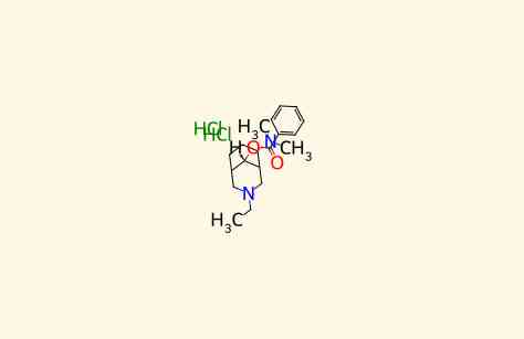 CCN1CC2CC[C@H](N(C)C)C(C1)[C@H]2OC(=O)c1ccccc1.Cl.Cl